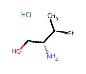 CC[C@H](C)[C@H](N)CO.Cl